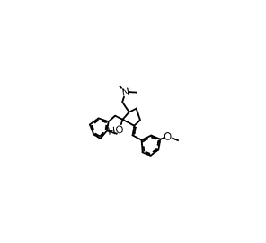 COc1cccc(/C=C2\CCC(CN(C)C)C2(O)Cc2ccccc2C)c1